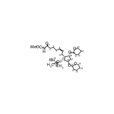 COCNC(=O)CCC/C=C\C[C@@H]1[C@@H](CO[Si](C)(C)C(C)(C)C)[C@H](OC2CCCCO2)C[C@H]1OC1CCCCO1